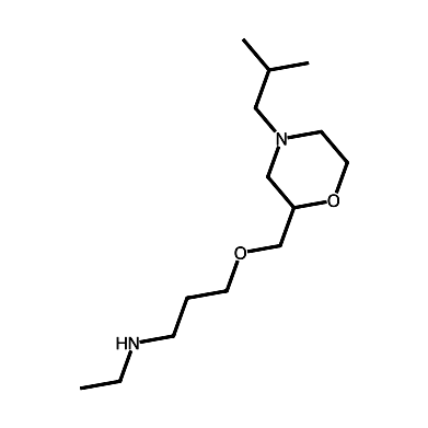 CCNCCCOCC1CN(CC(C)C)CCO1